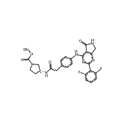 CC(C)(C)OC(=O)N1CC[C@@H](NC(=O)Cc2ccc(Nc3nc(-c4c(F)cccc4F)nc4c3C(=O)NC4)cc2)C1